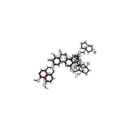 COc1ccc(CN(Cc2ccc(OC)cc2)c2cc(-c3nc4c5c(nc(OC[C@@]67CCCN6C[C@H](F)C7)nc5c3F)N3C[C@H]5CC[C@@H]([C@H]3[C@H](C)O4)N5C(=O)OC(C)(C)C)c(C(F)F)c(C)c2F)cc1